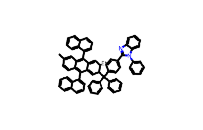 CCC1C=c2c(-c3cccc4ccccc34)c3cc(C)ccc3c(-c3cccc4ccccc34)c2=CC1C(c1ccccc1)(c1ccccc1)c1ccc(-c2nc3ccccc3n2-c2ccccc2)cc1